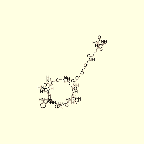 CC(C)[C@H]1NC(=O)[C@@H](C)NC(=O)[C@@H](Cc2c[nH]cn2)NC(=O)[C@@H](NC(=O)COCCOCCOCCNC(=O)CCCC[C@H]2SC[C@H]3NC(=O)N[C@H]32)Cc2cn(nn2)CCCC[C@@H](C(N)=O)NC(=O)[C@@H](Cc2c[nH]cn2)NC(=O)[C@@H](Cc2c[nH]c3ccccc23)NC1=O